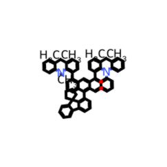 CN1c2ccccc2C(C)(C)c2cccc(-c3cccc4c(-c5cccc6c5C5(CCCC5)c5ccccc5-6)c5cccc(-c6cccc7c6N(c6ccccc6)c6ccccc6C7(C)C)c5cc34)c21